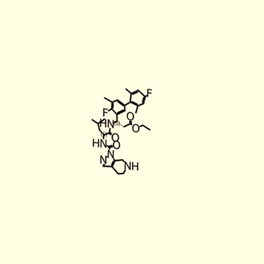 CCOC(=O)C[C@H](NC(=O)[C@H](CC(C)C)NC(=O)n1ncc2c1CNCC2)c1cc(-c2c(C)cc(F)cc2C)cc(C)c1F